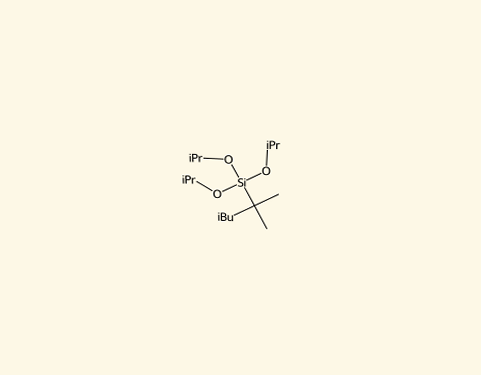 CCC(C)C(C)(C)[Si](OC(C)C)(OC(C)C)OC(C)C